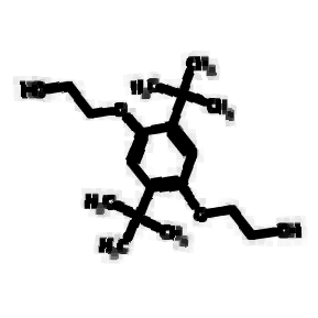 CC(C)(C)c1cc(OCCO)c(C(C)(C)C)cc1OCCO